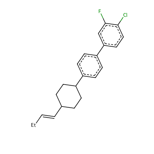 CCC=CC1CCC(c2ccc(-c3ccc(Cl)c(F)c3)cc2)CC1